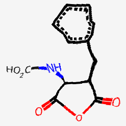 O=C(O)N[C@@H]1C(=O)OC(=O)C1Cc1ccccc1